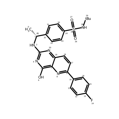 C[C@@H](Nc1nc(O)c2nc(-c3ccc(F)cc3)ccc2n1)c1ccc(S(=O)(=O)NC(C)(C)C)cc1